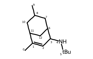 CC1=CC(NC(C)(C)C)C2CC(C)CC1C2